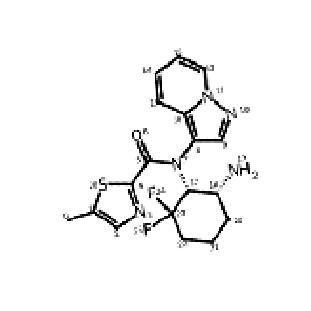 Cc1cnc(C(=O)N(c2cnn3ccccc23)[C@@H]2[C@H](N)CCCC2(F)F)s1